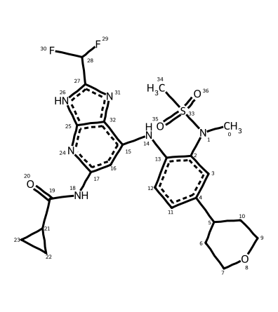 CN(c1cc(C2CCOCC2)ccc1Nc1cc(NC(=O)C2CC2)nc2[nH]c(C(F)F)nc12)S(C)(=O)=O